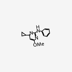 COc1cc(C2CC2)nc(Nc2ccccc2)n1